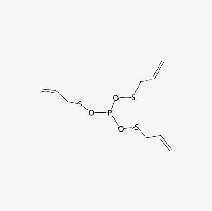 C=CCSOP(OSCC=C)OSCC=C